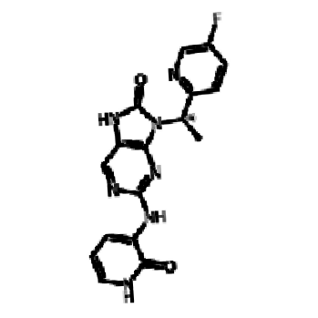 C[C@H](c1ccc(F)cn1)n1c(=O)[nH]c2cnc(Nc3ccc[nH]c3=O)nc21